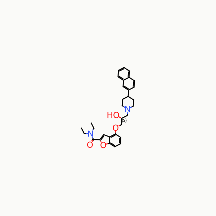 CCN(CC)C(=O)c1cc2c(OC[C@@H](O)CN3CCC(c4ccc5ccccc5c4)CC3)cccc2o1